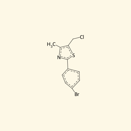 Cc1nc(-c2ccc(Br)cc2)sc1CCl